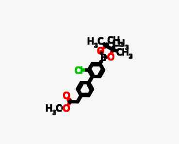 COC(=O)Cc1ccc(-c2ccc(B3OC(C)(C)C(C)(C)O3)cc2Cl)cc1